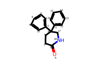 O=C1CCC(c2ccccc2)(c2ccccc2)CN1